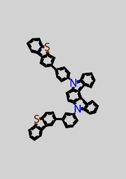 c1cc(-c2ccc3sc4ccccc4c3c2)cc(-n2c3ccccc3c3c4c5ccccc5n(-c5ccc(-c6ccc7c(c6)sc6ccccc67)cc5)c4ccc32)c1